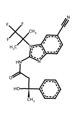 CC(C)(n1c(NC(=O)C[C@@](C)(O)c2ccccc2)nc2ccc(C#N)cc21)C(F)(F)F